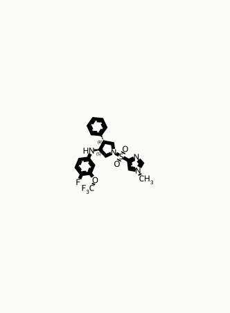 Cn1cnc(S(=O)(=O)N2C[C@@H](Nc3ccc(F)c(OC(F)(F)F)c3)[C@H](c3ccccc3)C2)c1